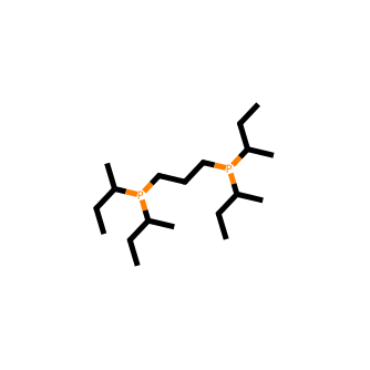 CCC(C)P(CCCP(C(C)CC)C(C)CC)C(C)CC